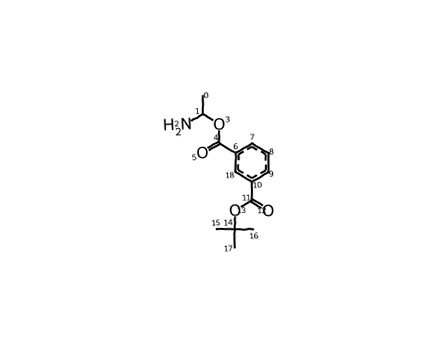 CC(N)OC(=O)c1cccc(C(=O)OC(C)(C)C)c1